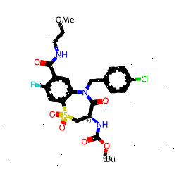 COCCNC(=O)c1cc2c(cc1F)S(=O)(=O)C[C@H](NC(=O)OC(C)(C)C)C(=O)N2Cc1ccc(Cl)cc1